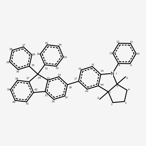 CC12CCCC1(C)N(c1ccccc1)c1ccc(-c3ccc4c(c3)C(c3ccccc3)(c3ccccc3)c3ccccc3-4)cc12